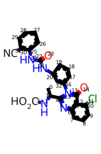 CC(NC(=O)O)c1nc2cccc(Cl)c2c(=O)n1-c1cccc(NC(=O)Nc2ccccc2C#N)c1